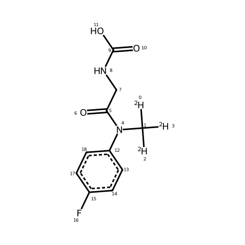 [2H]C([2H])([2H])N(C(=O)CNC(=O)O)c1ccc(F)cc1